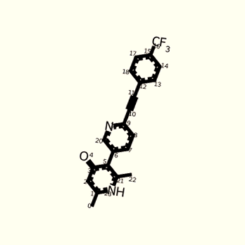 Cc1cc(=O)c(-c2ccc(C#Cc3ccc(C(F)(F)F)cc3)nc2)c(C)[nH]1